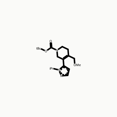 COCC1=C(c2ccnn2C(C)C)CN(C(=O)OC(C)(C)C)CC1